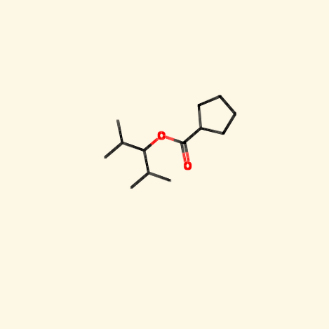 CC(C)C(OC(=O)C1CCCC1)C(C)C